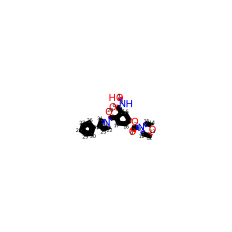 O=C(NO)C1CC(OC(=O)N2CCOCC2)CCC1C(=O)N1CC[C@H](c2ccccc2)C1